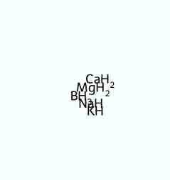 B.[CaH2].[KH].[MgH2].[NaH]